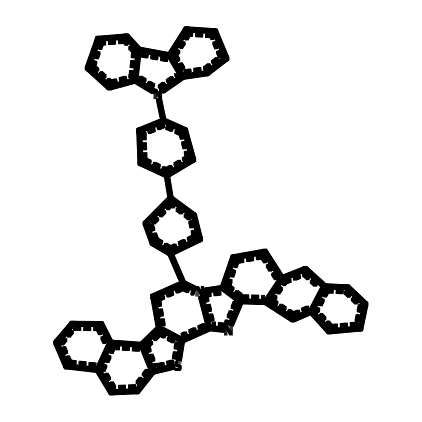 c1ccc2cc3c(ccc4c3nc3c5sc6ccc7ccccc7c6c5cc(-c5ccc(-c6ccc(-n7c8ccccc8c8ccccc87)cc6)cc5)n43)cc2c1